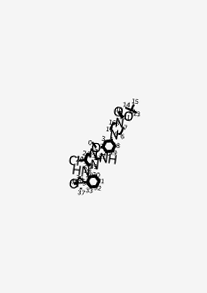 COc1cc(N2CCN(C(=O)OC(C)(C)C)CC2)ccc1Nc1ncc(Cl)c(Nc2ccccc2P(C)(C)=O)n1